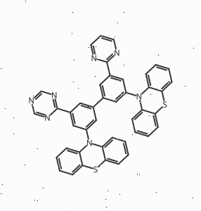 c1cnc(-c2cc(-c3cc(-c4ncncn4)cc(N4c5ccccc5Sc5ccccc54)c3)cc(N3c4ccccc4Sc4ccccc43)c2)nc1